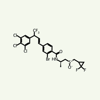 C[C@H](C[S+]([O-])CC1CC1(F)F)NC(=O)c1ccc(/C=C/C(c2cc(Cl)c(Cl)c(Cl)c2)C(F)(F)F)cc1Br